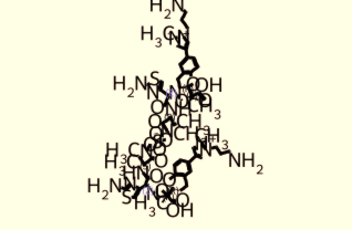 C[n+]1cc(-c2ccc3c(c2)CC[C@H]([C@@](C)(O/N=C(\C(=O)N[C@@H]2C(=O)N(OS(=O)(=O)ON4C(=O)[C@@H](NC(=O)/C(=N\O[C@@](C)(C(=O)O)[C@H]5CCc6cc(-c7cn(CCCN)[n+](C)c7)ccc6O5)c5csc(N)n5)C4(C)C)C2(C)C)c2csc(N)n2)C(=O)O)O3)cn1CCCN